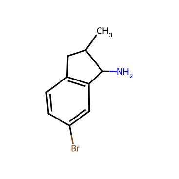 CC1Cc2ccc(Br)cc2C1N